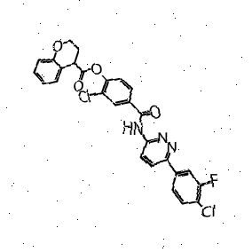 O=C(Nc1ccc(-c2ccc(Cl)c(F)c2)nn1)c1ccc(OC(=O)C2CCOc3ccccc32)c(Cl)c1